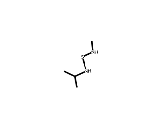 CNSNC(C)C